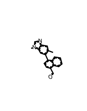 Cc1cc2ncn(C)c2cc1-c1ccc(C=O)c2ccccc12